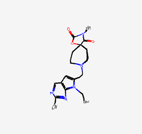 CCCN1C(=O)OC2(CCN(Cc3cc4cnc(C#N)nc4n3CC(C)(C)C)CC2)C1=O